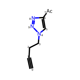 C#CCCn1cc(C(C)=O)nn1